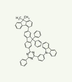 CC1(C)c2ccccc2-c2c(-c3ccc4c(c3)C(c3ccccc3)(c3ccccc3)c3cc(-c5nc(-c6ccccc6)nc(-c6cccc(-n7c8ccccc8c8ccccc87)c6)n5)ccc3-4)cccc21